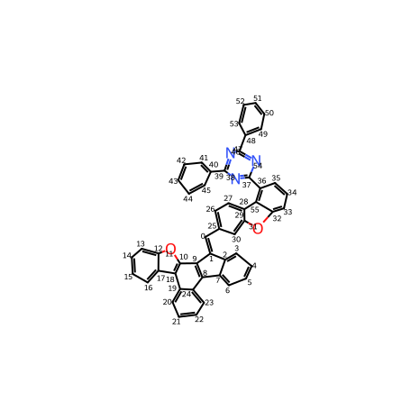 C(=C1/c2ccccc2-c2c1c1oc3ccccc3c1c1ccccc21)/c1ccc2c(c1)oc1cccc(-c3nc(-c4ccccc4)nc(-c4ccccc4)n3)c12